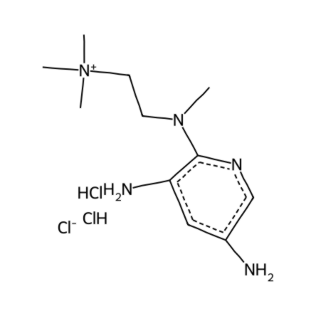 CN(CC[N+](C)(C)C)c1ncc(N)cc1N.Cl.Cl.[Cl-]